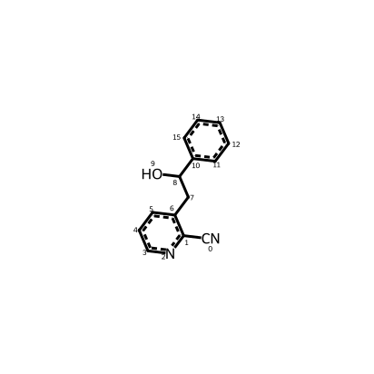 N#Cc1ncccc1CC(O)c1ccccc1